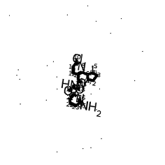 C[C@@H]1CC[C@H](C)C1c1nc(Cl)ccc1C(=O)NS(=O)(=O)c1cccc(N)n1